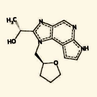 C[C@@H](O)c1nc2cnc3[nH]ccc3c2n1C[C@@H]1CCCO1